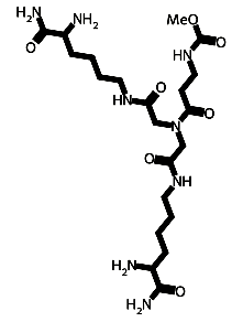 COC(=O)NCCC(=O)N(CC(=O)NCCCCC(N)C(N)=O)CC(=O)NCCCCC(N)C(N)=O